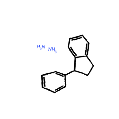 N.N.c1ccc(C2CCc3ccccc32)cc1